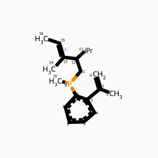 C=C(C)c1ccccc1P(C)CC(/C(C)=C/C)C(C)C